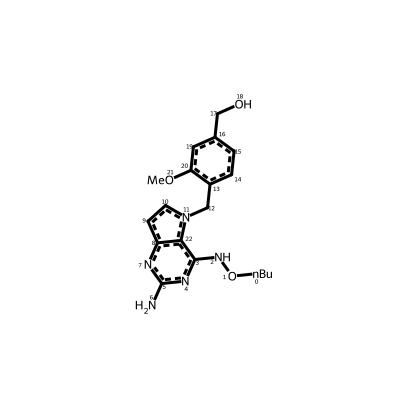 CCCCONc1nc(N)nc2ccn(Cc3ccc(CO)cc3OC)c12